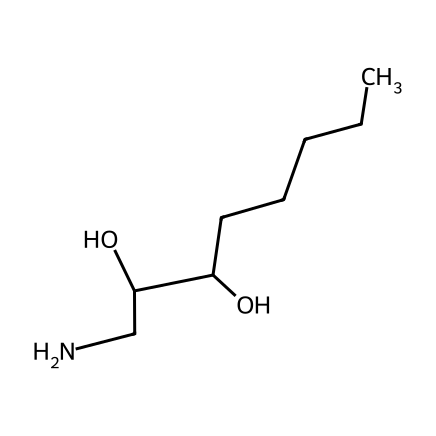 CCCCCC(O)C(O)CN